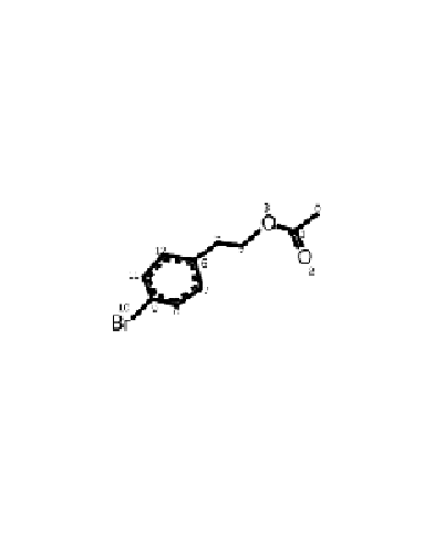 CC(=O)OCCc1ccc(Br)cc1